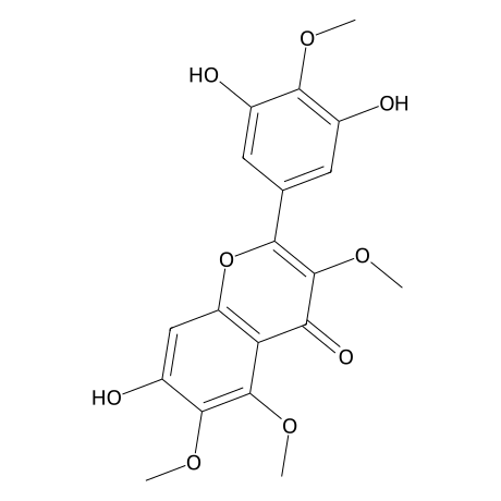 COc1c(O)cc(-c2oc3cc(O)c(OC)c(OC)c3c(=O)c2OC)cc1O